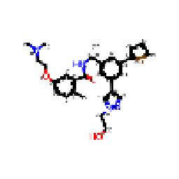 Cc1ccc(OCCN(C)C)cc1C(=O)N[C@H](C)c1cc(-c2cnn(CCO)c2)cc(-c2cccs2)c1